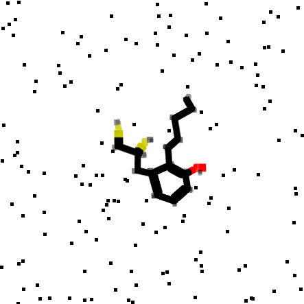 CCCCCc1c(O)cccc1CC(=S)C=S